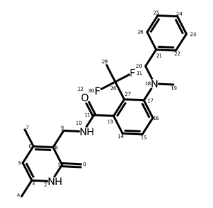 C=C1NC(C)=CC(C)=C1CNC(=O)c1cccc(N(C)Cc2ccccc2)c1C(C)(F)F